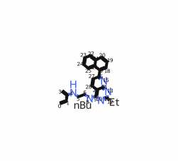 C=CC(=C)NCCN(CCCC)c1nc(CC)nc2nc(-c3cccc4ccccc34)ccc12